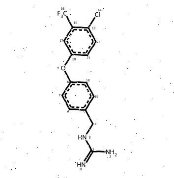 N=C(N)NCc1ccc(Oc2ccc(Cl)c(C(F)(F)F)c2)cc1